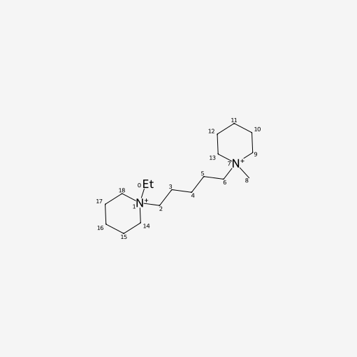 CC[N+]1(CCCCC[N+]2(C)CCCCC2)CCCCC1